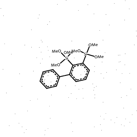 CO[Si](OC)(OC)c1cccc(-c2ccccc2)c1[Si](OC)(OC)OC